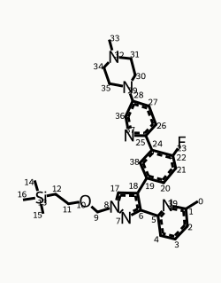 Cc1cccc(-c2nn(COCC[Si](C)(C)C)cc2-c2ccc(F)c(-c3ccc(N4CCN(C)CC4)cn3)c2)n1